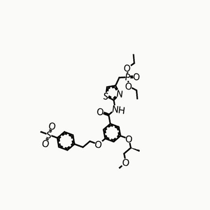 CCOP(=O)(Cc1csc(NC(=O)c2cc(OCCc3ccc(S(C)(=O)=O)cc3)cc(O[C@@H](C)COC)c2)n1)OCC